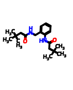 CC(C)(C)CC(=O)NCc1ccccc1NC(=O)CC(C)(C)C